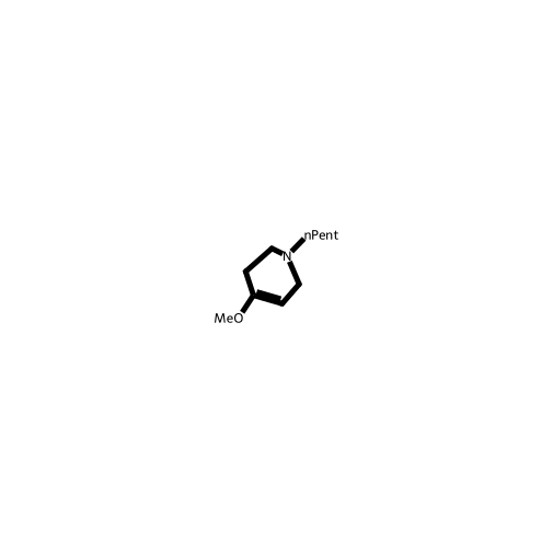 CCCCCN1CC=C(OC)CC1